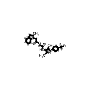 Cc1nn(-c2ccc(C(F)(F)F)cc2)c(C)c1NC(=O)COC(=O)Cn1c(C)cc2ccccc21